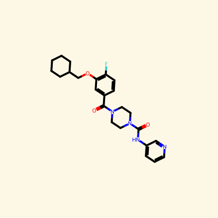 O=C(Nc1cccnc1)N1CCN(C(=O)c2ccc(F)c(OCC3CCCCC3)c2)CC1